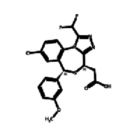 COc1cccc([C@H]2S[C@H](CC(=O)O)c3nnc(C(F)F)n3-c3ccc(Cl)cc32)c1